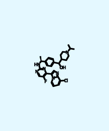 CC(C)N1CCC(C(O)c2ccc([C@H](C)Nc3ncc(F)c(-c4cnc5c(Cl)cccn45)n3)cc2)CC1